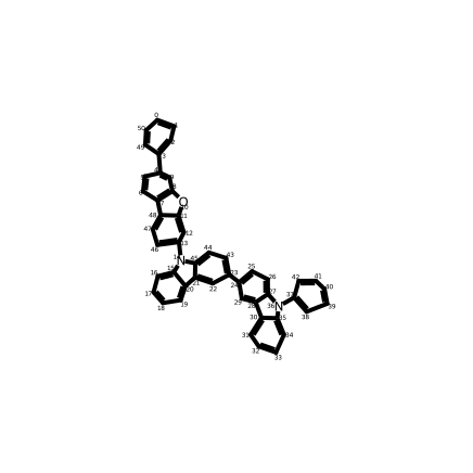 c1ccc(-c2ccc3c(c2)oc2cc(-n4c5ccccc5c5cc(-c6ccc7c(c6)c6ccccc6n7-c6ccccc6)ccc54)ccc23)cc1